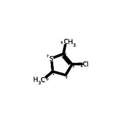 C[C]1CC(Cl)=C(C)S1